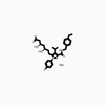 CCc1ccc(CNC(=O)c2nn(-c3ccc(F)cc3)c(CC[C@@H](O)C[C@@H](O)CC(=O)[O-])c2C(C)C)cc1.[Na+]